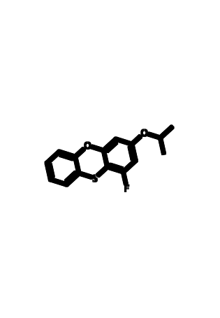 CC(C)Oc1cc(F)c2c(c1)Oc1ccccc1S2